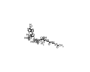 CC(=O)SSCCNC(=O)CCNC(=O)[C@H](O)C(C)(C)COP(=O)(O)OP(=O)(O)OC[C@H]1O[C@@H](n2cnc3c(N)ncnc32)[C@H](O)[C@@H]1OP(=O)(O)O